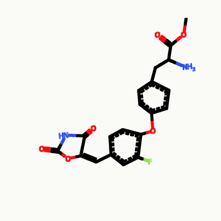 COC(=O)C(N)Cc1ccc(Oc2ccc(C=C3OC(=O)NC3=O)cc2F)cc1